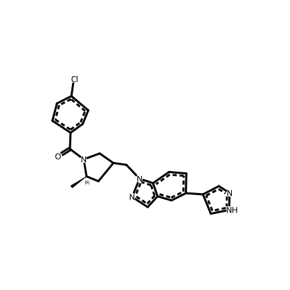 C[C@@H]1CC(Cn2ncc3cc(-c4cn[nH]c4)ccc32)CN1C(=O)c1ccc(Cl)cc1